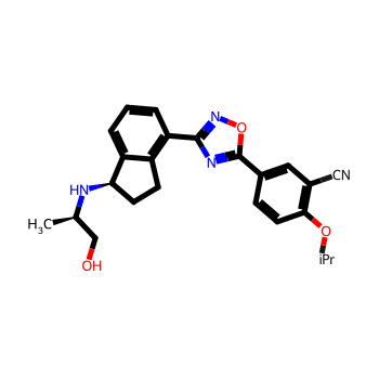 CC(C)Oc1ccc(-c2nc(-c3cccc4c3CC[C@H]4N[C@H](C)CO)no2)cc1C#N